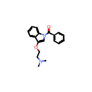 CN(C)CCOc1cn(C(=O)c2ccccc2)c2ccccc12